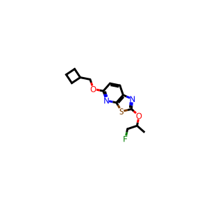 CC(CF)Oc1nc2ccc(OCC3CCC3)nc2s1